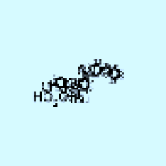 CC(C)(C)C(C(=O)O)N(c1cccc(Cl)c1)S(=O)(=O)c1cccc(C(=O)N2CCC(Cc3ccccc3)CC2)c1